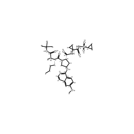 CCCC[C@@H](C(=O)N1C[C@H](Oc2nccc3cc(OC)ccc23)C[C@H]1C(=O)NC1(C(=O)NS(=O)(=O)C2CC2)CC1)N(C)C(=O)OC(C)(C)C